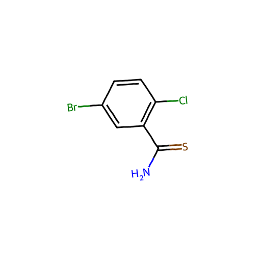 NC(=S)c1cc(Br)ccc1Cl